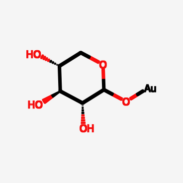 O[C@H]1[C@H](O)COC([O][Au])[C@@H]1O